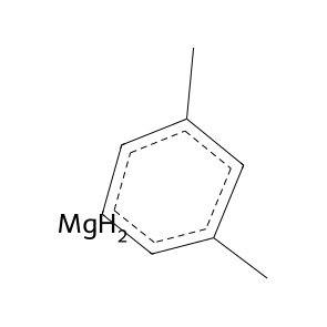 Cc1cccc(C)c1.[MgH2]